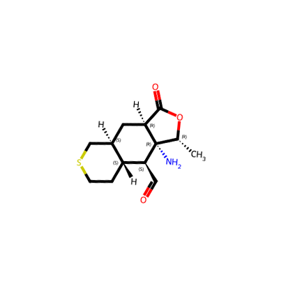 C[C@H]1OC(=O)[C@@H]2C[C@@H]3CSCC[C@H]3[C@H](C=O)[C@]12N